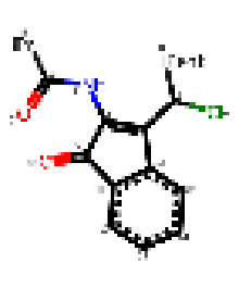 CCCC(C)C(Cl)C1=C(NC(=O)C(C)C)C(=O)c2ccccc21